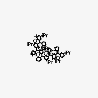 CC(C)c1ccc(O)c(C(c2ccccc2)c2cc(C(C)C)cc(C(c3ccccc3)c3cc(C(C)C)cc(C(c4ccccc4)c4cc(C(C)C)cc(C(c5ccccc5)c5cc(C(C)C)cc(C(c6ccccc6)c6cc(C(C)C)ccc6O)c5O)c4O)c3O)c2O)c1